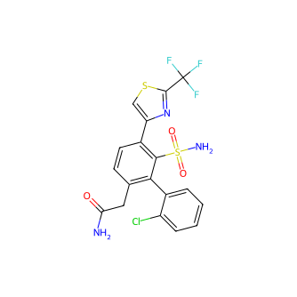 NC(=O)Cc1ccc(-c2csc(C(F)(F)F)n2)c(S(N)(=O)=O)c1-c1ccccc1Cl